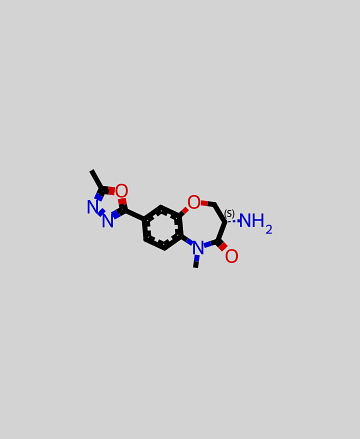 Cc1nnc(-c2ccc3c(c2)OC[C@H](N)C(=O)N3C)o1